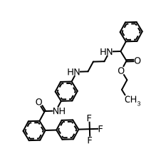 CCCOC(=O)C(NCCCNc1ccc(NC(=O)c2ccccc2-c2ccc(C(F)(F)F)cc2)cc1)c1ccccc1